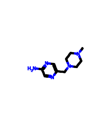 CN1CCN(Cc2cnc(N)cn2)CC1